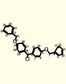 ClC(c1ccc(OCc2ccccc2)cc1)c1ccc(OCc2ccccc2)cc1